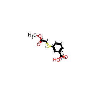 COC(=O)CSc1cccc(C(=O)O)c1